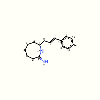 N=C1CCCCCC(CC=Cc2ccccc2)N1